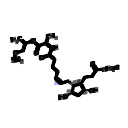 CCCCCCCC(=O)CC[C@@H]1[C@@H](C/C=C\CCCC(=O)NC(C)C(=O)OC(C)CO[N+](=O)[O-])[C@@H](O)C[C@H]1O